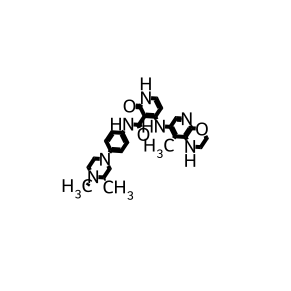 Cc1c(Nc2cc[nH]c(=O)c2C(=O)Nc2ccc(N3CCN(C)[C@@H](C)C3)cc2)cnc2c1NCCO2